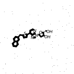 OC[C@H]1O[C@@H](n2cnc3c(-c4ccc(Cc5ccc6ccccc6c5)s4)ccnc32)CC1O